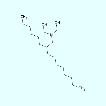 CCCCCCCCC(CCCCCC)CN(CO)CO